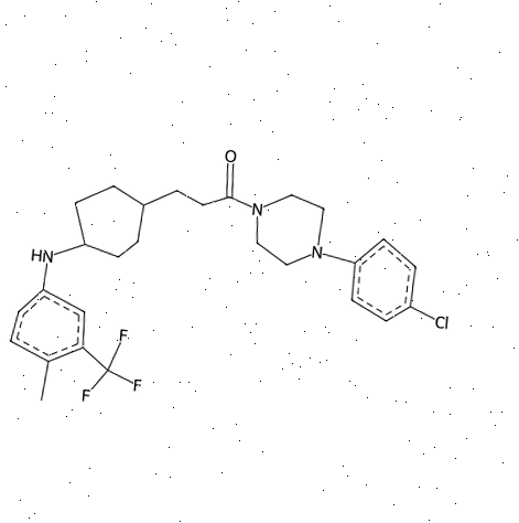 Cc1ccc(NC2CCC(CCC(=O)N3CCN(c4ccc(Cl)cc4)CC3)CC2)cc1C(F)(F)F